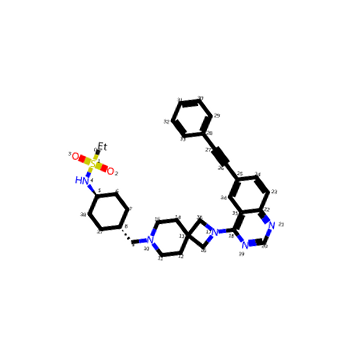 CCS(=O)(=O)N[C@H]1CC[C@H](CN2CCC3(CC2)CN(c2ncnc4ccc(C#Cc5ccccc5)cc24)C3)CC1